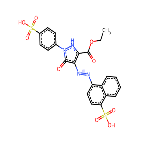 CCOC(=O)c1[nH]n(-c2ccc(S(=O)(=O)O)cc2)c(=O)c1/N=N/c1ccc(S(=O)(=O)O)c2ccccc12